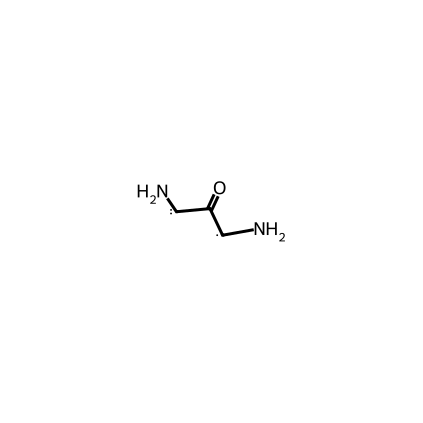 N[C]C(=O)[CH]N